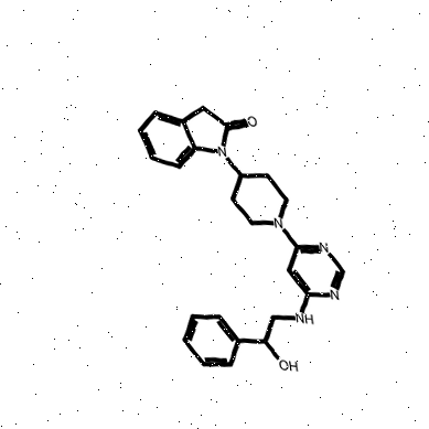 O=C1Cc2ccccc2N1C1CCN(c2cc(NCC(O)c3ccccc3)ncn2)CC1